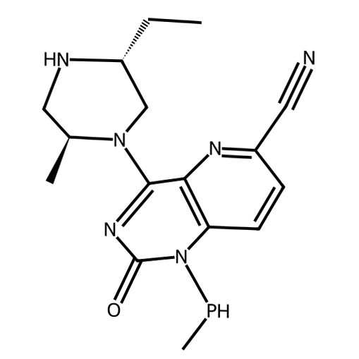 CC[C@@H]1CN(c2nc(=O)n(PC)c3ccc(C#N)nc23)[C@@H](C)CN1